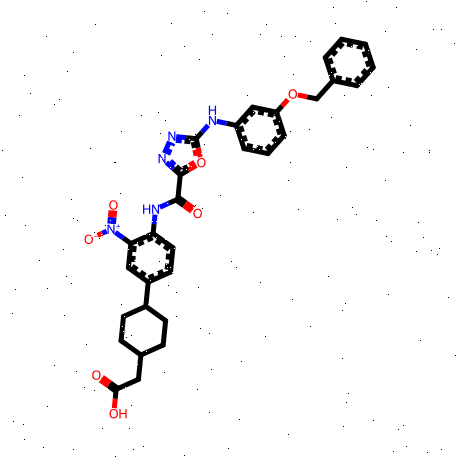 O=C(O)CC1CCC(c2ccc(NC(=O)c3nnc(Nc4cccc(OCc5ccccc5)c4)o3)c([N+](=O)[O-])c2)CC1